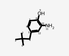 CC(C)(C)Cc1ccc(O)c(N)c1